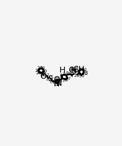 CN(C)[C@@H](/C=C/c1ccc(-c2nnc(CSCCOc3ccccc3)o2)cc1)Cc1ccccc1